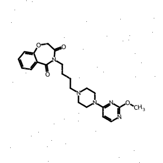 COc1nccc(N2CCN(CCCCN3C(=O)COc4ccccc4C3=O)CC2)n1